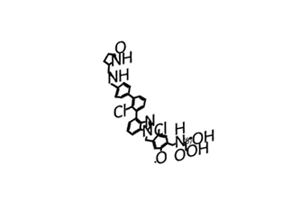 COc1cc(Cn2cnc3c(-c4cccc(-c5ccc(CNCC6CCC(=O)N6)cc5)c4Cl)cccc32)c(Cl)cc1CN[C@@H](CO)C(=O)O